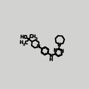 CC(C)(O)C1CCN(c2ccc(Nc3ccnc(N4CCCCCC4)n3)cc2)CC1